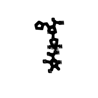 Cc1[nH]c(C(=O)N[C@@H]2[C@@H]3CN(c4nc(CC5CCCC5)c(C(=O)O)s4)C[C@@H]32)c(Cl)c1Cl